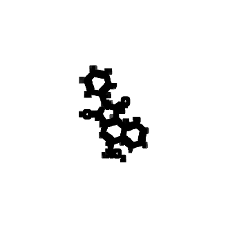 O=C1c2cc([N+](=O)[O-])c3ccccc3c2C(=O)N1c1ccccc1